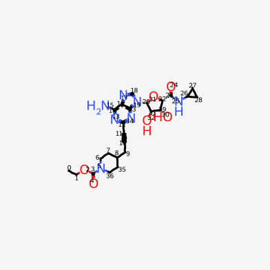 CCOC(=O)N1CCC(CC#Cc2nc(N)c3ncn([C@@H]4O[C@H](C(=O)NC5CC5)[C@H](O)C4O)c3n2)CC1